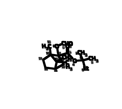 CCC(C)(C)OC(=O)C1(O[C]=O)CC2CCC1(C)C2(C)C